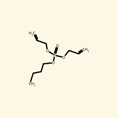 [CH2]CCCOP(=O)(OCC=C)OCC=C